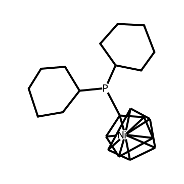 C1CCC(P(C2CCCCC2)[C]23[CH]4[CH]5[CH]6[CH]2[Ni]56432789[CH]3[CH]2[CH]7[CH]8[CH]39)CC1